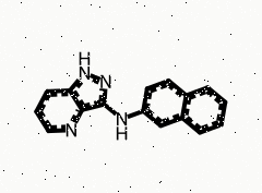 c1ccc2cc(Nc3n[nH]c4cccnc34)ccc2c1